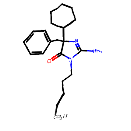 NC1=NC(c2ccccc2)(C2CCCCC2)C(=O)N1CCCCC(=O)O